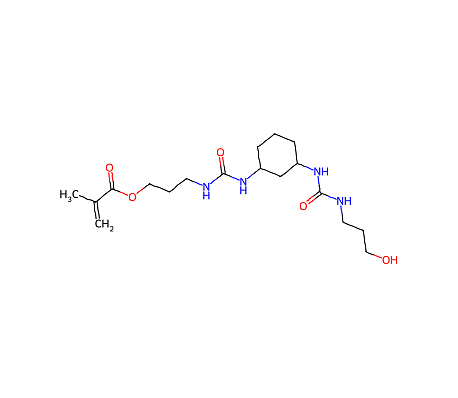 C=C(C)C(=O)OCCCNC(=O)NC1CCCC(NC(=O)NCCCO)C1